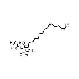 CC/C=C\CC/C=C\CCCCCCCCCC(O)(C[N+](C)(C)C)P(=O)(O)O